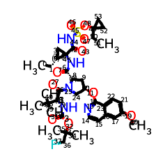 CC[C@@H]1C[C@]1(NC(=O)[C@@H]1C[C@@H](Oc2nccc3cc(OC)ccc23)CN1C(=O)[C@@H](NC(=O)OC(C)(C)CF)C(C)(C)C)C(=O)NS(=O)(=O)OC1(CC)CC1